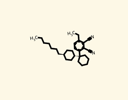 CCCCCCC[C@H]1CC[C@H](C2(c3ccc(CC)c(C#N)c3C#N)CCCCC2)CC1